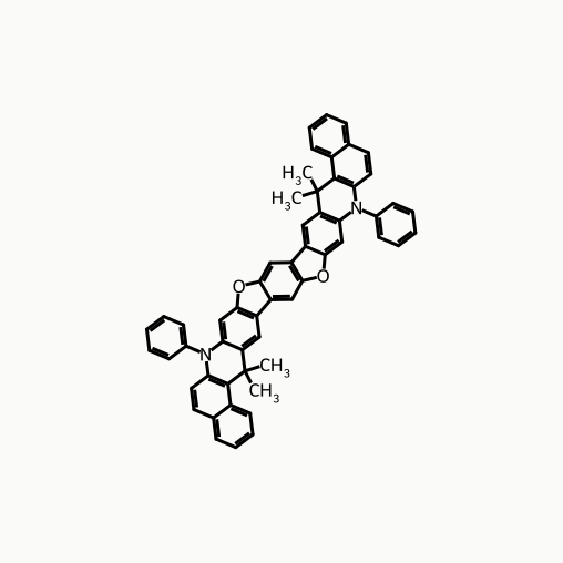 CC1(C)c2cc3c(cc2N(c2ccccc2)c2ccc4ccccc4c21)oc1cc2c(cc13)oc1cc3c(cc12)C(C)(C)c1c(ccc2ccccc12)N3c1ccccc1